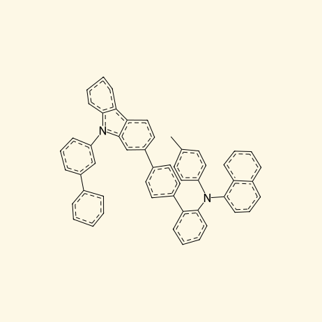 Cc1ccc(N(c2ccccc2-c2ccc(-c3ccc4c5ccccc5n(-c5cccc(-c6ccccc6)c5)c4c3)cc2)c2cccc3ccccc23)cc1